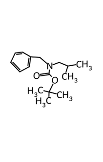 CC(C)CN(Cc1ccccc1)C(=O)OC(C)(C)C